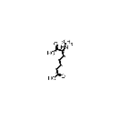 CNC(CCCCC(=O)O)C(=O)O